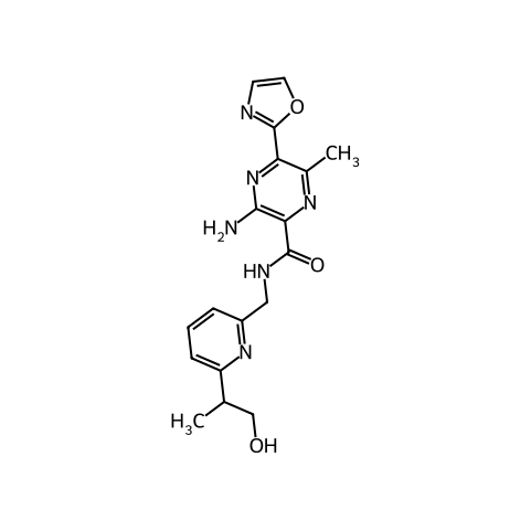 Cc1nc(C(=O)NCc2cccc(C(C)CO)n2)c(N)nc1-c1ncco1